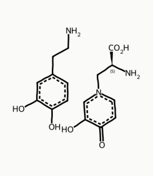 NCCc1ccc(O)c(O)c1.N[C@@H](Cn1ccc(=O)c(O)c1)C(=O)O